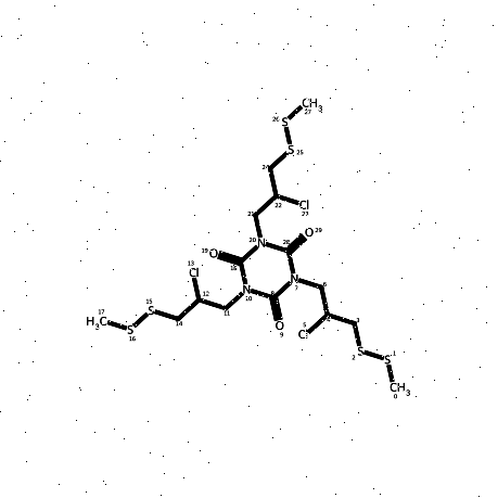 CSSCC(Cl)Cn1c(=O)n(CC(Cl)CSSC)c(=O)n(CC(Cl)CSSC)c1=O